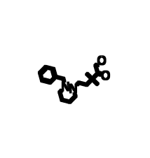 CC(C)(CCN1CCCCN1Cc1ccccc1)C(=O)C=O